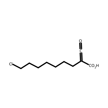 O=C=C(CCCCCCCCl)C(=O)O